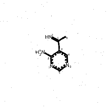 CC(=N)c1cncnc1N